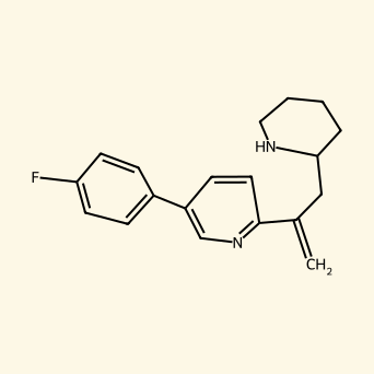 C=C(CC1CCCCN1)c1ccc(-c2ccc(F)cc2)cn1